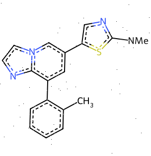 CNc1ncc(-c2cc(-c3ccccc3C)c3nccn3c2)s1